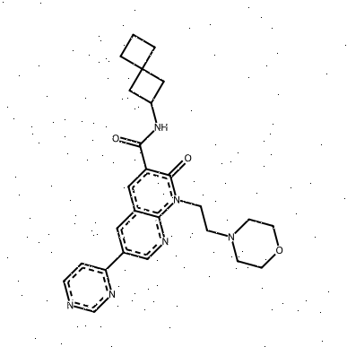 O=C(NC1CC2(CCC2)C1)c1cc2cc(-c3ccncn3)cnc2n(CCN2CCOCC2)c1=O